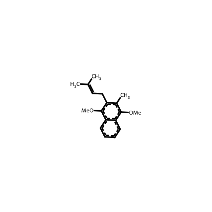 COc1c(C)c(CC=C(C)C)c(OC)c2ccccc12